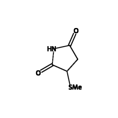 CSC1CC(=O)NC1=O